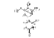 CC1C2OCC(CO)(OC2n2ccc(=O)[nH]c2=O)C1O